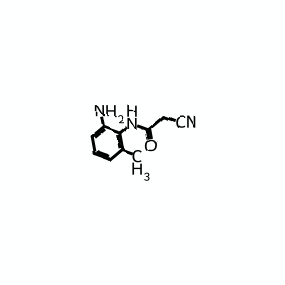 Cc1cccc(N)c1NC(=O)CC#N